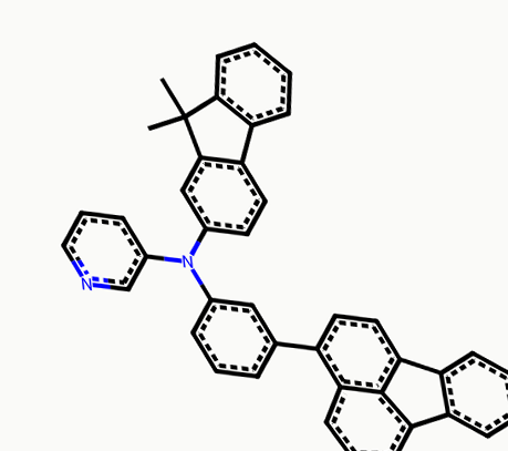 CC1(C)c2ccccc2-c2ccc(N(c3cccnc3)c3cccc(-c4ccc5c6c(cccc46)-c4ccccc4-5)c3)cc21